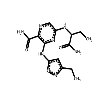 CCc1cc(Nc2nc(NC(CC)C(N)=O)cnc2C(N)=O)sn1